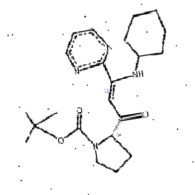 CC(C)(C)OC(=O)N1CCC[C@H]1C(=O)/C=C(\NC1CCCCC1)c1ncccn1